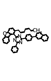 C=C/C=C\C=C/Cc1ccc2oc3ccccc3c2c1-c1nc(-c2ccccc2)nc(-c2ccc(-c3ccc4ccccc4c3)cc2)n1